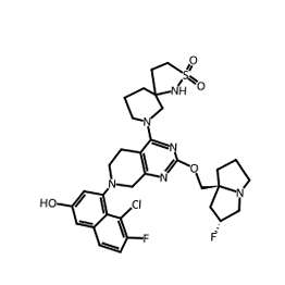 O=S1(=O)CCC2(CCCN(c3nc(OC[C@@]45CCCN4C[C@H](F)C5)nc4c3CCN(c3cc(O)cc5ccc(F)c(Cl)c35)C4)C2)N1